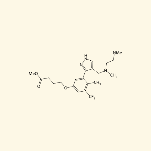 CNCCN(C)Cc1c[nH]nc1-c1cc(OCCCC(=O)OC)cc(C(F)(F)F)c1C